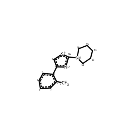 FC(F)(F)c1ccccc1-c1csc(N2CCCCC2)n1